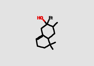 CCC1(O)CC2=CCCC(C)(C)C2CC1C